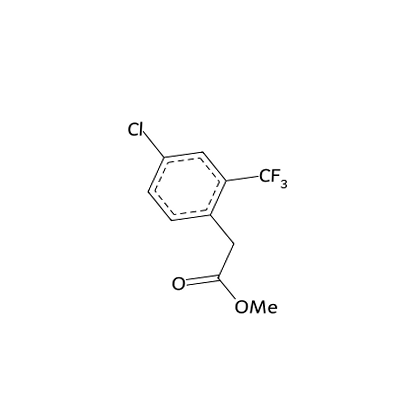 COC(=O)Cc1ccc(Cl)cc1C(F)(F)F